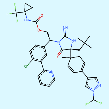 CC(C)(C)C[C@]1(C2(C)C=CC(c3cnn(C(F)F)c3)=CC2)NC(=N)N([C@H](COC(=O)NC2(C(F)(F)F)CC2)c2ccc(Cl)c(-c3ccccn3)c2)C1=O